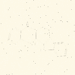 O=C1c2ccccc2NC2c3[nH]c4ccccc4c3CCN12